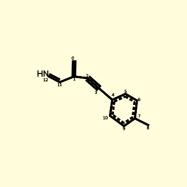 C=C(C#Cc1ccc(C)cc1)C=N